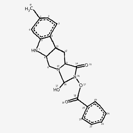 Cc1ccc2c(c1)NC1CN3C(CC21)C(=O)N(OC(=O)c1ccccc1)C3O